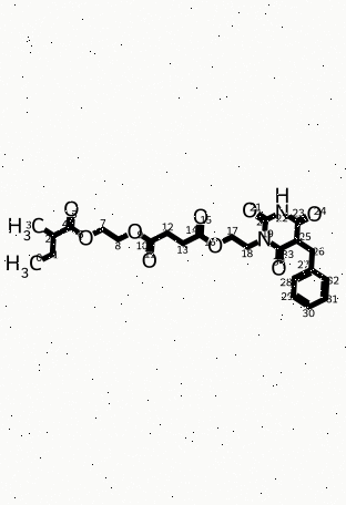 CCC(C)C(=O)OCCOC(=O)CCC(=O)OCCN1C(=O)NC(=O)C(Cc2ccccc2)C1=O